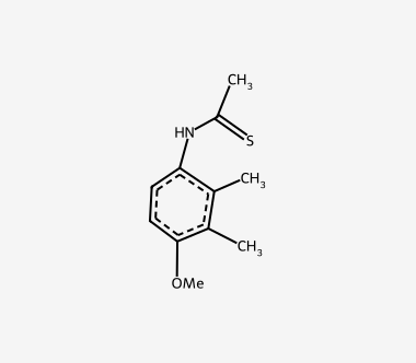 COc1ccc(NC(C)=S)c(C)c1C